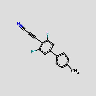 Cc1ccc(-c2cc(F)c(C#CC#N)c(F)c2)cc1